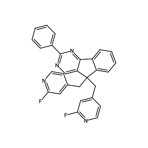 Fc1cc(CC2(Cc3ccnc(F)c3)c3ccccc3-c3nc(-c4ccccc4)ncc32)ccn1